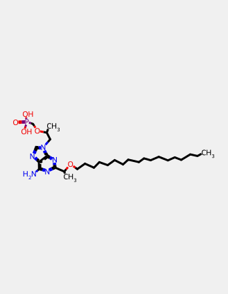 CCCCCCCCCCCCCCCCCCOC(C)c1nc(N)c2ncn(CC(C)OCP(=O)(O)O)c2n1